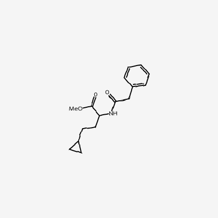 COC(=O)C(CCC1CC1)NC(=O)Cc1ccccc1